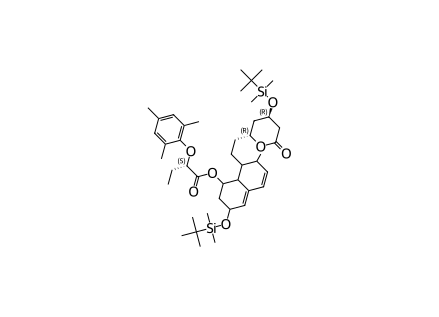 CC[C@H](Oc1c(C)cc(C)cc1C)C(=O)OC1CC(O[Si](C)(C)C(C)(C)C)C=C2C=CC(C)C(CC[C@@H]3C[C@@H](O[Si](C)(C)C(C)(C)C)CC(=O)O3)C21